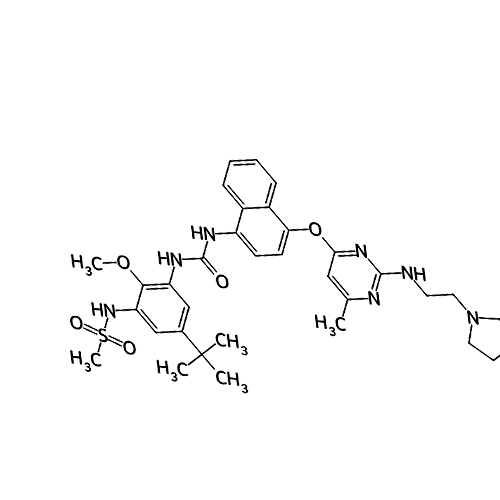 COc1c(NC(=O)Nc2ccc(Oc3cc(C)nc(NCCN4CCCC4)n3)c3ccccc23)cc(C(C)(C)C)cc1NS(C)(=O)=O